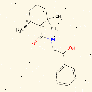 C[C@H]1CCCC(C)(C)[C@@H]1C(=O)NCC(O)c1ccccc1